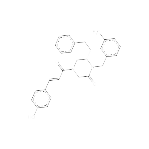 O=C(/C=C/c1ccc(O)cc1)N1CC(=O)N(Cc2cccc(C(F)(F)F)c2)[C@@H](CCc2ccccc2)C1